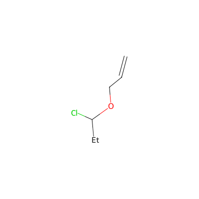 C=CCOC(Cl)CC